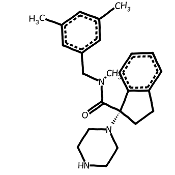 Cc1cc(C)cc(CN(C)C(=O)[C@]2(N3CCNCC3)CCc3ccccc32)c1